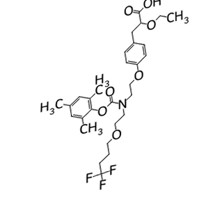 CCOC(Cc1ccc(OCCN(CCOCCCC(F)(F)F)C(=O)Oc2c(C)cc(C)cc2C)cc1)C(=O)O